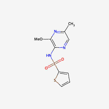 COc1nc(C)cnc1NS(=O)(=O)c1cccs1